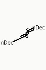 CCCCCCCCCCCCCCCCCCc1ccc2cc3c(cc2c1)sc1cc2c(cc13)sc1cc3cc(CCCCCCCCCC)ccc3cc12